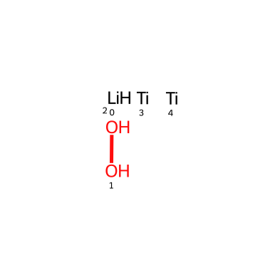 OO.[LiH].[Ti].[Ti]